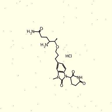 C[C@@H](OCCCc1ccc2c(c1)n(C)c(=O)n2C1CCC(=O)NC1=O)[C@@H](N)CCC(N)=O.Cl